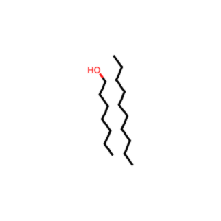 CCCCCCCCCC.CCCCCCCO